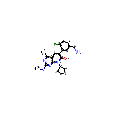 CNc1nc(C)c2cc(-c3cc(CN)ccc3F)c(=O)n(C3CCCC3)c2n1